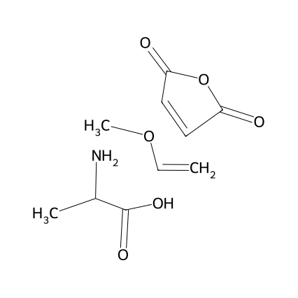 C=COC.CC(N)C(=O)O.O=C1C=CC(=O)O1